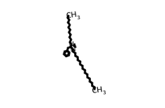 CCCCCCCCCCCCCCCCCCCN1C=CN(CCCCCCCCCCCC)C1Cc1ccccc1